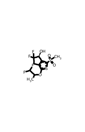 CC(Oc1sc(S(C)(=O)=O)c2c1CC(F)(F)[C@H]2O)C(F)F